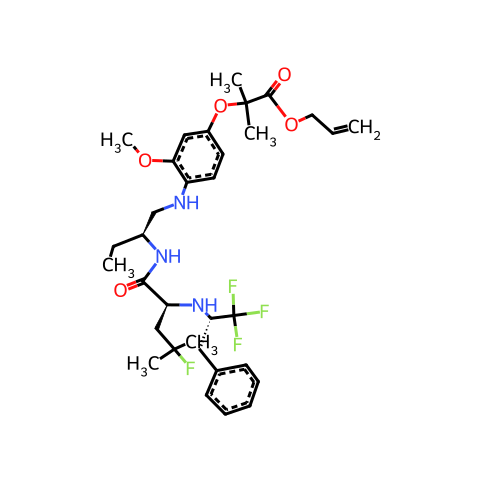 C=CCOC(=O)C(C)(C)Oc1ccc(NC[C@H](CC)NC(=O)[C@H](CC(C)(C)F)N[C@@H](Cc2ccccc2)C(F)(F)F)c(OC)c1